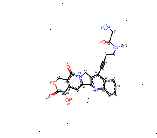 CCN(CCC#Cc1c2c(nc3ccccc13)-c1cc3c(c(=O)n1C2)COC(=O)[C@H]3O)C(=O)CN